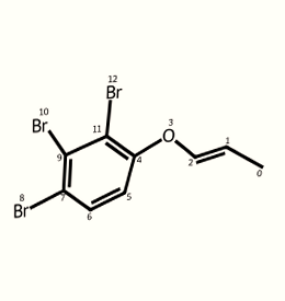 CC=COc1ccc(Br)c(Br)c1Br